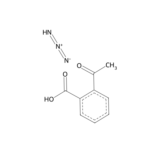 CC(=O)c1ccccc1C(=O)O.[N-]=[N+]=N